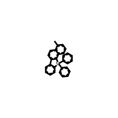 Cc1cccc2c3c(ccc12)-c1ccccc1[Si]3(c1ccccc1)c1ccccc1